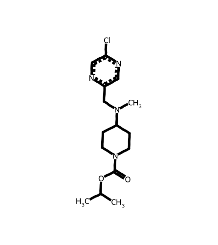 CC(C)OC(=O)N1CCC(N(C)Cc2cnc(Cl)cn2)CC1